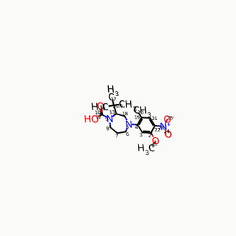 COc1cc(N2CCCN(C(=O)O)C(C(C)(C)C)C2)c(C)cc1[N+](=O)[O-]